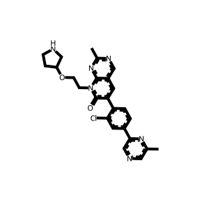 Cc1cncc(-c2ccc(-c3cc4cnc(C)nc4n(CCOC4CCNC4)c3=O)c(Cl)c2)n1